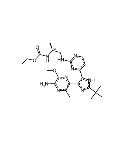 CCOC(=O)N[C@@H](C)CNc1nccc(-c2[nH]c(C(C)(C)C)nc2-c2nc(OC)c(N)nc2C)n1